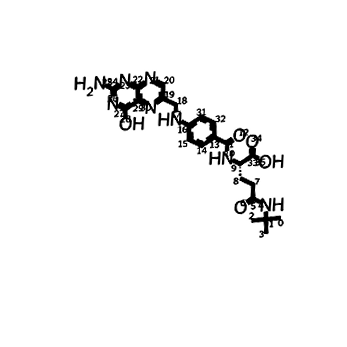 CC(C)(C)NC(=O)CC[C@H](NC(=O)c1ccc(NCc2cnc3nc(N)nc(O)c3n2)cc1)C(=O)O